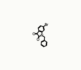 O=C1C(=O)N(Cc2ccccc2)c2cc(Br)ccc21